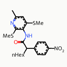 CCCCCCC(C(=O)Nc1c(SC)cc(C)nc1SC)c1ccc([N+](=O)[O-])cc1